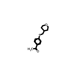 CC(=O)c1ccc(SCC2CCOCC2)cc1